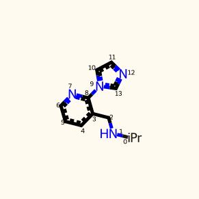 CC(C)NCc1cccnc1-n1ccnc1